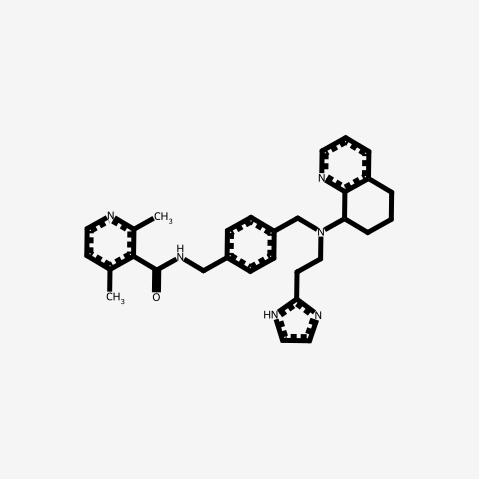 Cc1ccnc(C)c1C(=O)NCc1ccc(CN(CCc2ncc[nH]2)C2CCCc3cccnc32)cc1